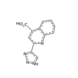 O=C(O)c1cc(-c2c[nH]nn2)nc2ccccc12